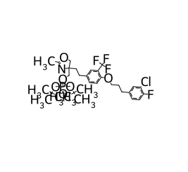 CC1=NC(CCc2ccc(OCCCc3ccc(F)c(Cl)c3)c(C(F)(F)F)c2)(COP(=O)(OC(C)(C)C)OC(C)(C)C)CO1